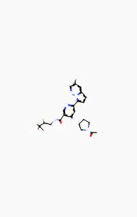 COC(=O)N1CC[C@@H](Nc2cc(-c3ccc4cc(C#N)cnn34)ncc2C(=O)NCC(F)C(C)(C)O)C1